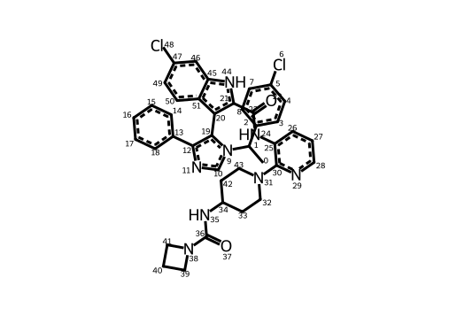 CC(c1ccc(Cl)cc1)n1cnc(-c2ccccc2)c1-c1c(C(=O)Nc2cccnc2N2CCC(NC(=O)N3CCC3)CC2)[nH]c2cc(Cl)ccc12